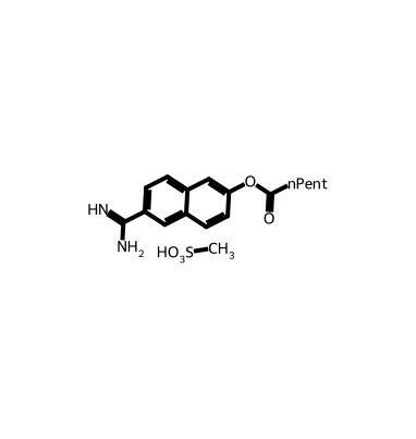 CCCCCC(=O)Oc1ccc2cc(C(=N)N)ccc2c1.CS(=O)(=O)O